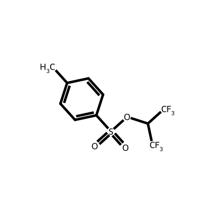 Cc1ccc(S(=O)(=O)OC(C(F)(F)F)C(F)(F)F)cc1